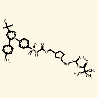 Cc1ccc(-c2cc(C(F)(F)F)nn2-c2ccc(S(=O)(=O)NC(=O)OCC3CCN(/N=N\OC(C)OC(=O)C(C)(C)C)C3)cc2)cc1